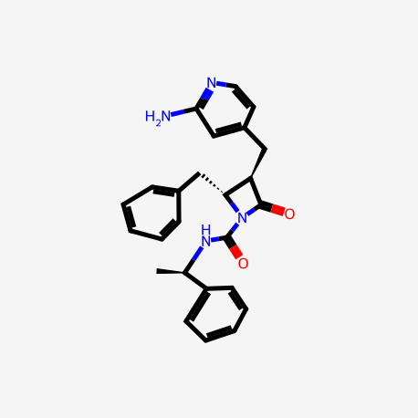 C[C@@H](NC(=O)N1C(=O)[C@H](Cc2ccnc(N)c2)[C@H]1Cc1ccccc1)c1ccccc1